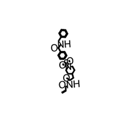 C=CC(=O)NC1CC2CCN(S(=O)(=O)c3ccc(C(=O)NCc4ccccc4)cc3)CC2O1